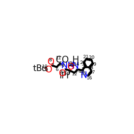 CC(C)[C@]1(C(=O)N[C@@H](CC(=O)OC(C)(C)C)C(=O)O)CC(c2nccc3ccccc23)=NO1